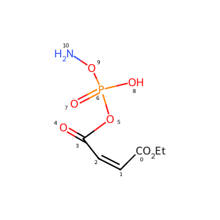 CCOC(=O)/C=C\C(=O)OP(=O)(O)ON